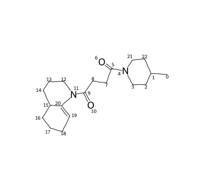 CC1CCN(C(=O)CCC(=O)N2CCCC3CCCC=C32)CC1